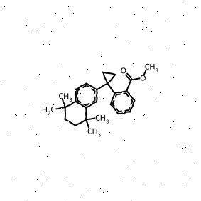 COC(=O)c1ccccc1C1(c2ccc3c(c2)C(C)(C)CCC3(C)C)CC1